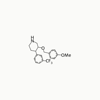 COc1ccc(COC2CNCCC2c2cccc(C(F)(F)F)c2)cc1